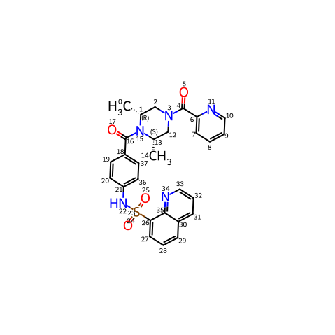 C[C@@H]1CN(C(=O)c2ccccn2)C[C@H](C)N1C(=O)c1ccc(NS(=O)(=O)c2cccc3cccnc23)cc1